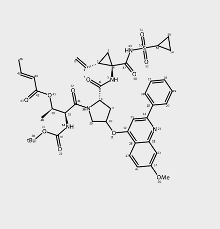 C=C[C@@H]1C[C@]1(NC(=O)[C@@H]1CC(Oc2cc(-c3ccccc3)nc3cc(OC)ccc23)CN1C(=O)[C@@H](NC(=O)OC(C)(C)C)[C@@H](C)OC(=O)/C=C/C)C(=O)NS(=O)(=O)C1CC1